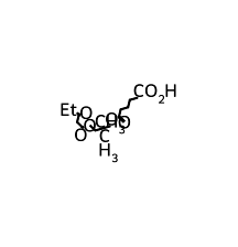 CCC(=O)CC(=O)OCC(C)(C)COC(=O)CCCCC(=O)O